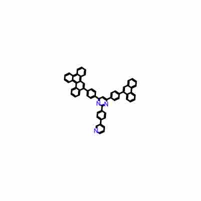 c1cncc(-c2ccc(-c3nc(-c4ccc(-c5cc6ccccc6c6ccccc56)cc4)cc(-c4ccc(-c5cc6c7ccccc7c7ccccc7c6c6ccccc56)cc4)n3)cc2)c1